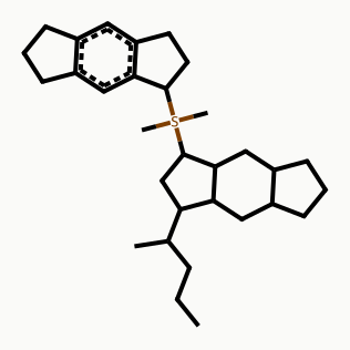 CCCC(C)C1CC(S(C)(C)C2CCc3cc4c(cc32)CCC4)C2CC3CCCC3CC12